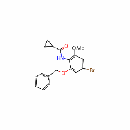 COc1cc(Br)cc(OCc2ccccc2)c1NC(=O)C1CC1